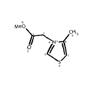 COC(=O)C[n+]1cscc1C